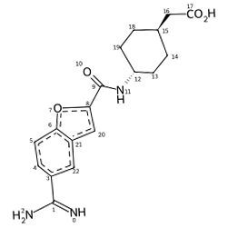 N=C(N)c1ccc2oc(C(=O)N[C@H]3CC[C@H](CC(=O)O)CC3)cc2c1